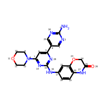 Nc1ncc(-c2cc(N3CCOCC3)nc(Nc3ccc4c(c3)OCC(=O)N4)n2)cn1